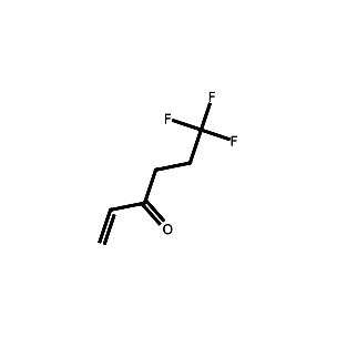 C=CC(=O)CCC(F)(F)F